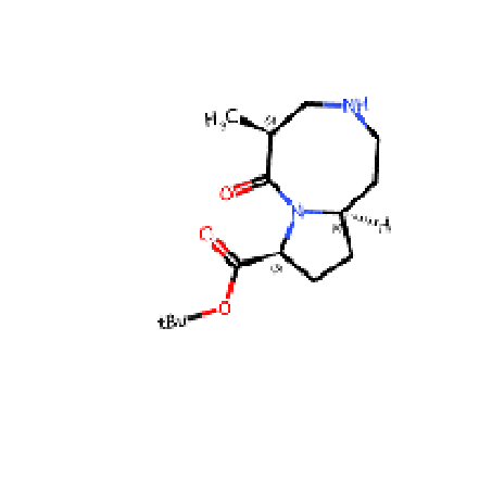 C[C@H]1CNCC[C@H]2CC[C@@H](C(=O)OC(C)(C)C)N2C1=O